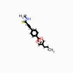 CCCC12COC(c3ccc(C#CC(=S)NC)cc3)(OC1)OC2